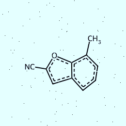 Cc1cccc2cc(C#N)oc12